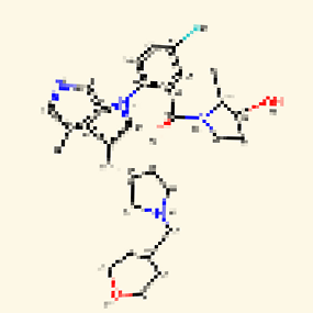 Cc1cncc2c1c(C[C@@H]1CCN(CC3CCOCC3)C1)cn2-c1ccc(F)cc1C(=O)N1CCC(O)C1C